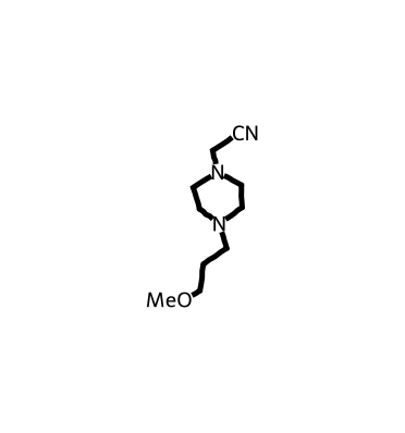 COCCCN1CCN(CC#N)CC1